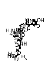 CC(C)(ON=CC(=O)NC1C[N+](C(=O)NS(=O)(=O)N2CCN(NC(=O)c3cc(=O)c(O)c[nH]3)C2=O)(c2csc(N)n2)C1=O)C(=O)O